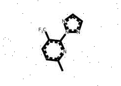 Cc1ccc(C(F)(F)F)c(-n2nccn2)n1